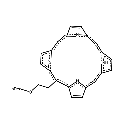 CCCCCCCCCCOCCc1c2nc(cc3ccc(cc4nc(cc5ccc1[nH]5)C=C4)[nH]3)C=C2